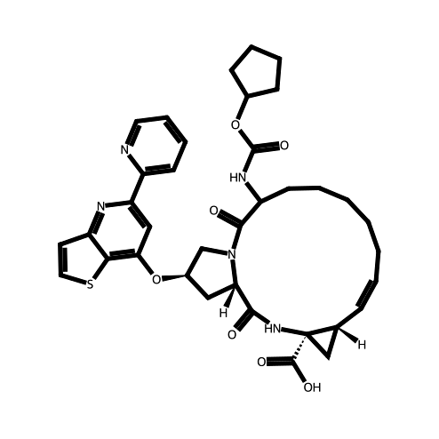 O=C(NC1CCCCCC=C[C@@H]2C[C@@]2(C(=O)O)NC(=O)[C@@H]2C[C@@H](Oc3cc(-c4ccccn4)nc4ccsc34)CN2C1=O)OC1CCCC1